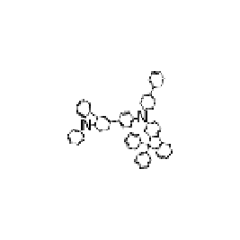 C1=CCCC(c2ccc(N(C3=CC=C4C5=C(C=CCC5)C(c5ccccc5)(C5C=CC=CC5)C4C3)c3ccc(C4=CC5c6ccccc6N(c6ccccc6)C5C=C4)cc3)cc2)=C1